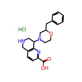 Cl.O=C(O)c1ccc2c(n1)C(N1CCOC(Cc3ccccc3)C1)CNC2